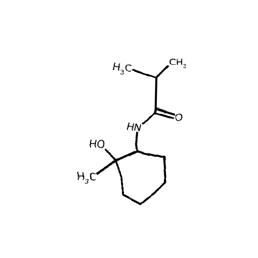 CC(C)C(=O)NC1CCCCC1(C)O